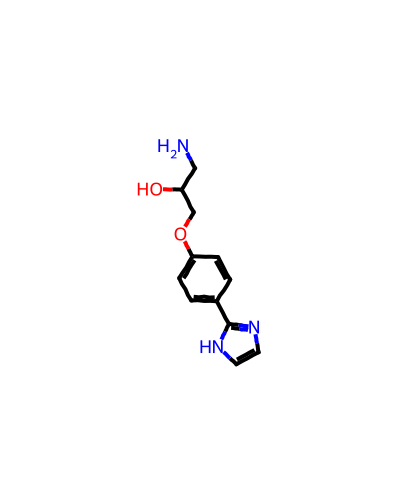 NCC(O)COc1ccc(-c2ncc[nH]2)cc1